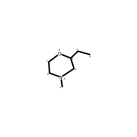 C[CH]C1CN(C)CCO1